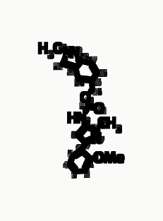 COc1ccccc1-c1cc(NC(=O)OCc2ccc3nn(C)cc3c2)n(C)n1